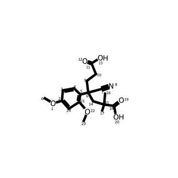 COc1ccc(C(C#N)(CCC(=O)O)CC(C)(C)C(=O)O)c(OC)c1